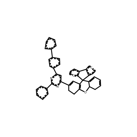 C1=CCC2OC3=C(C=C(c4cc(-c5ccc(-c6ccccc6)cc5)nc(-c5ccccc5)n4)CC3)C3(C2=C1)c1ccccc1-c1ccccc13